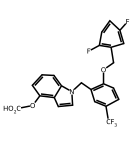 O=C(O)Oc1cccc2c1ccn2Cc1cc(C(F)(F)F)ccc1OCc1cc(F)ccc1F